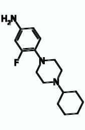 Nc1ccc(N2CCN(C3CCCCC3)CC2)c(F)c1